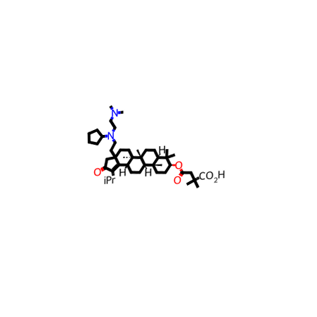 CC(C)C1=C2[C@H]3CC[C@@H]4[C@@]5(C)CC[C@H](OC(=O)CC(C)(C)C(=O)O)C(C)(C)[C@@H]5CC[C@@]4(C)[C@]3(C)CCC2(CCN(CCN(C)C)C2CCCC2)CC1=O